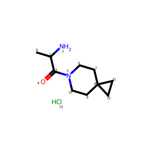 CC(N)C(=O)N1CCC2(CC1)CC2.Cl